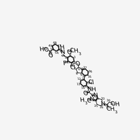 COc1cc(OC2CCc3c(-c4cccc(NC(=O)c5nc6c(n5C)CCN(C(C)CO)C6)c4Cl)cccc32)c(Cl)c(F)c1CNc1cccc(C(=O)O)c1